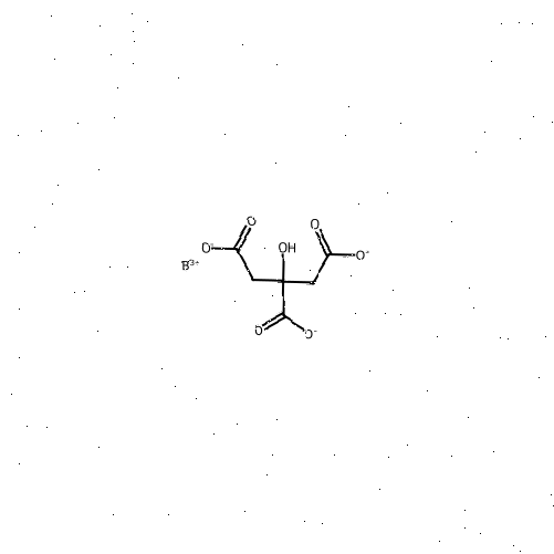 O=C([O-])CC(O)(CC(=O)[O-])C(=O)[O-].[B+3]